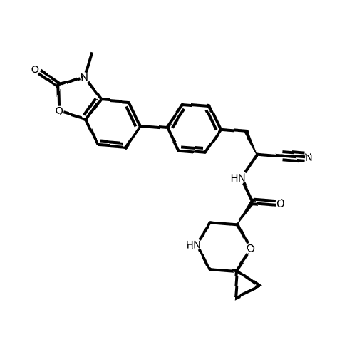 Cn1c(=O)oc2ccc(-c3ccc(C[C@@H](C#N)NC(=O)[C@@H]4CNCC5(CC5)O4)cc3)cc21